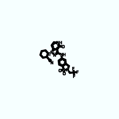 N#CC1CCCC[C@@H]1n1nc(Nc2ccc3c(c2)CN(CC(F)(F)F)S3(=O)=O)c2c(=O)[nH]ccc21